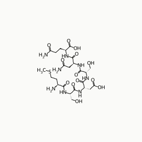 CSCC[C@H](N)C(=O)N[C@@H](CO)C(=O)N[C@@H](CC(=O)O)C(=O)N[C@@H](CO)C(=O)N[C@@H](CC(N)=O)C(=O)N[C@@H](CCC(N)=O)C(=O)O